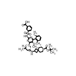 COc1c(OC[C@@H](CC(C)C)NC2CC3(CCN(C(=O)OC(C)(C)C)CC3)C2)nc(NS(=O)(=O)c2cccc(C(=O)O)c2)nc1-c1c(C)cccc1C